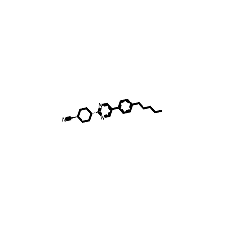 CCCCCc1ccc(-c2cnc([C@H]3CC[C@H](C#N)CC3)nc2)cc1